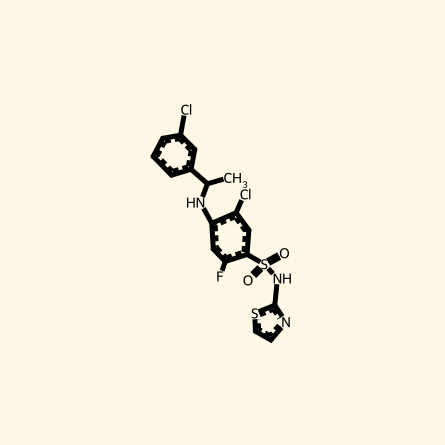 CC(Nc1cc(F)c(S(=O)(=O)Nc2nccs2)cc1Cl)c1cccc(Cl)c1